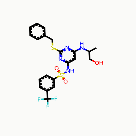 CC(CO)Nc1cc(NS(=O)(=O)c2cccc(C(F)(F)F)c2)nc(SCc2ccccc2)n1